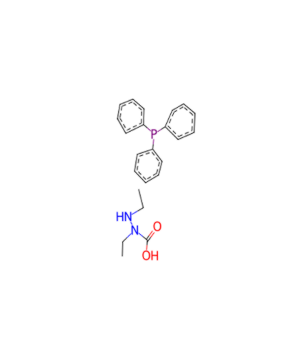 CCNN(CC)C(=O)O.c1ccc(P(c2ccccc2)c2ccccc2)cc1